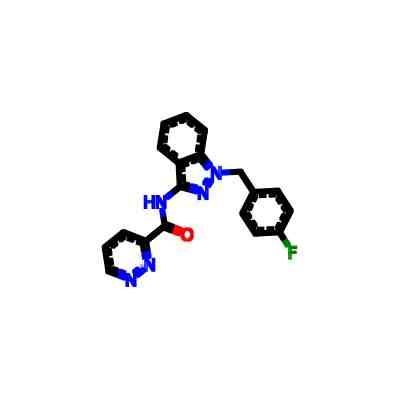 O=C(Nc1nn(Cc2ccc(F)cc2)c2ccccc12)c1cccnn1